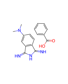 CN(C)c1ccc2c(c1)C(=N)NC2=N.O=C(O)c1ccccc1